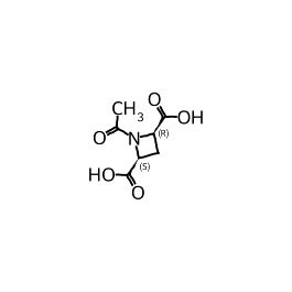 CC(=O)N1[C@@H](C(=O)O)C[C@H]1C(=O)O